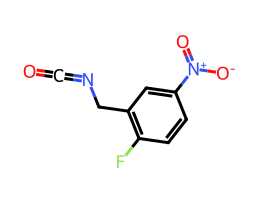 O=C=NCc1cc([N+](=O)[O-])ccc1F